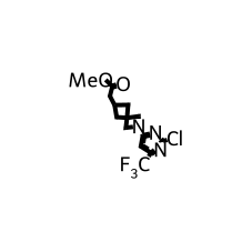 COC(=O)CC1CC2(C1)CN(c1cc(C(F)(F)F)nc(Cl)n1)C2